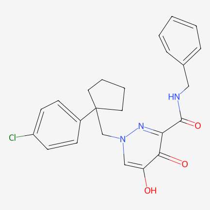 O=C(NCc1ccccc1)c1nn(CC2(c3ccc(Cl)cc3)CCCC2)cc(O)c1=O